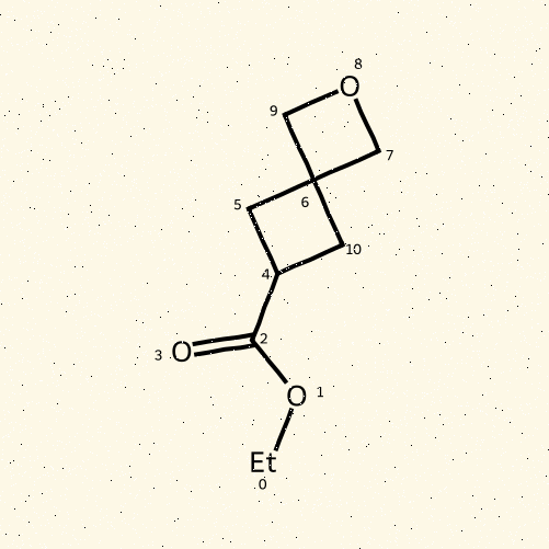 CCOC(=O)C1CC2(COC2)C1